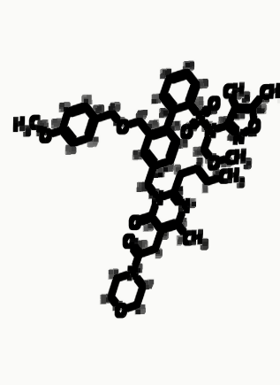 CCCCc1nc(C)c(CC(=O)N2CCOCC2)c(=O)n1Cc1ccc(-c2ccccc2S(=O)(=O)N(COC)c2noc(C)c2C)c(COCc2ccc(OC)cc2)c1